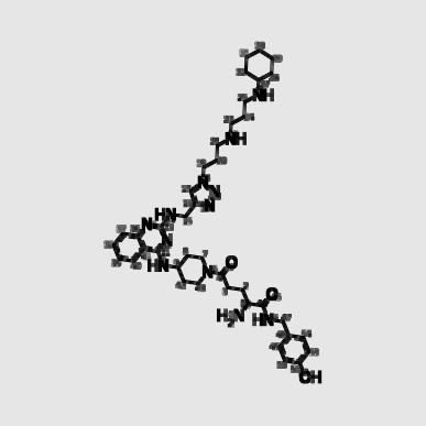 N[C@@H](CCC(=O)N1CCC(Nc2nc(NCc3cn(CCCNCCCNC4CCCCC4)nn3)nc3ccccc23)CC1)C(=O)NCc1ccc(O)cc1